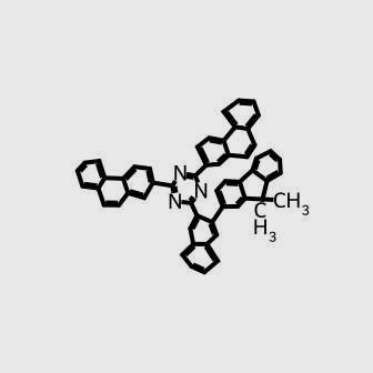 CC1(C)c2ccccc2-c2ccc(-c3cc4ccccc4cc3-c3nc(-c4ccc5c(ccc6ccccc65)c4)nc(-c4ccc5c(ccc6ccccc65)c4)n3)cc21